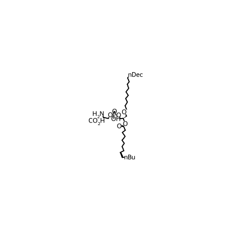 CCCC/C=C\CCCCCCCC(=O)O[C@H](COCCCCCCCCCCCCCCCCCCCC)COP(=O)(O)OC[C@H](N)C(=O)O